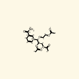 CC(=O)OCCO[C@H]([C@@H](COC(C)=O)OC(C)=O)N1C=CCC(C(N)=O)=C1